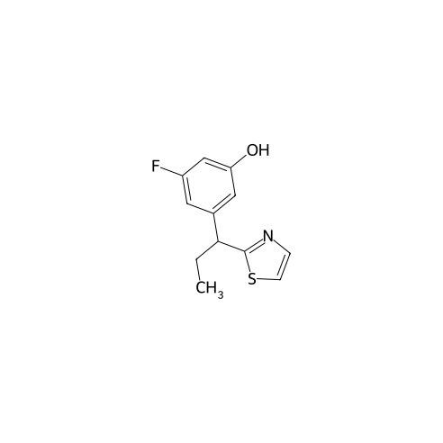 CCC(c1cc(O)cc(F)c1)c1nccs1